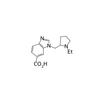 CCN1CCCC1Cn1cnc2ccc(C(=O)O)cc21